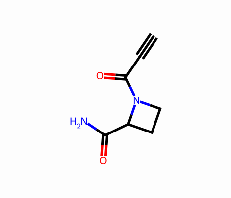 C#CC(=O)N1CCC1C(N)=O